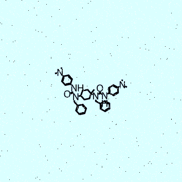 CN(C)c1ccc(NC(=O)N(Cc2ccccc2)C2CCC(C)(N(Cc3ccccc3)C(=O)Nc3ccc(N(C)C)cc3)CC2)cc1